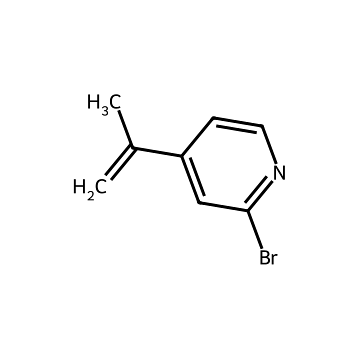 C=C(C)c1ccnc(Br)c1